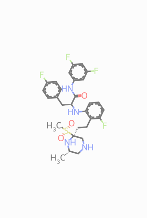 C[C@H]1CNC[C@](CCc2c(F)cccc2N[C@@H](Cc2ccc(F)cc2)C(=O)Nc2cc(F)cc(F)c2)(S(C)(=O)=O)N1